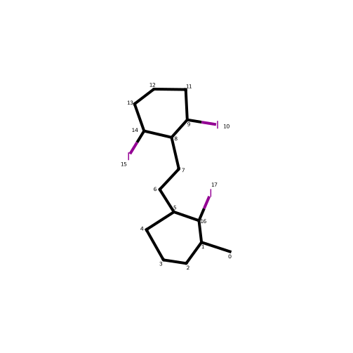 CC1CCCC(CCC2C(I)CCCC2I)C1I